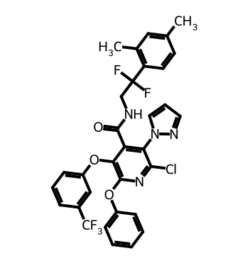 Cc1ccc(C(F)(F)CNC(=O)c2c(Oc3cccc(C(F)(F)F)c3)c(Oc3ccccc3)nc(Cl)c2-n2cccn2)c(C)c1